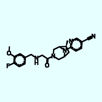 COc1cc(CNCC(=O)N2CC3C[C@H](C)C(C2)N3c2ccc(C#N)cn2)ccc1F